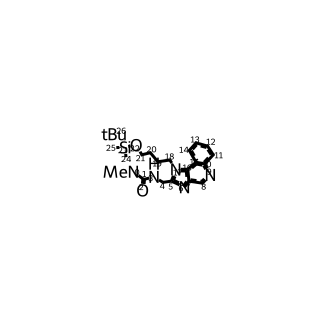 CNC(=O)NCc1nc2cnc3ccccc3c2n1CCCCO[Si](C)(C)C(C)(C)C